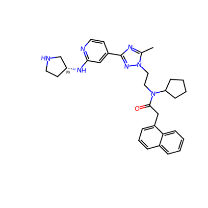 Cc1nc(-c2ccnc(N[C@@H]3CCNC3)c2)nn1CCN(C(=O)Cc1cccc2ccccc12)C1CCCC1